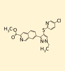 CCn1cc(Sc2ccc(Cl)cn2)c(-c2ccc3cc(C(=O)OC)ncc3c2)n1